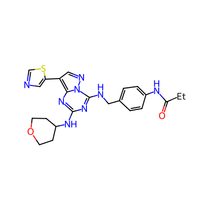 CCC(=O)Nc1ccc(CNc2nc(NC3CCOCC3)nc3c(-c4cncs4)cnn23)cc1